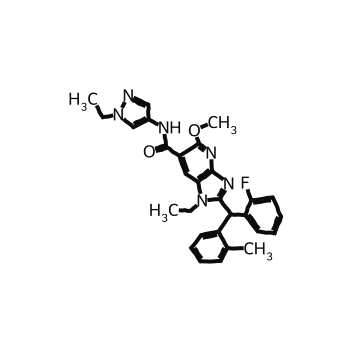 CCn1cc(NC(=O)c2cc3c(nc2OC)nc(C(c2ccccc2C)c2ccccc2F)n3CC)cn1